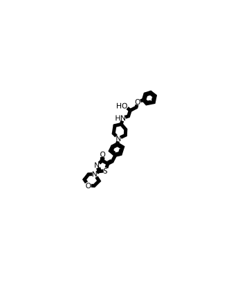 O=C1N=C(N2CCOCC2)S/C1=C/c1ccc(N2CCC(NCC(O)COc3ccccc3)CC2)cc1